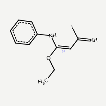 CCO/C(=C/C(=N)I)Nc1ccccc1